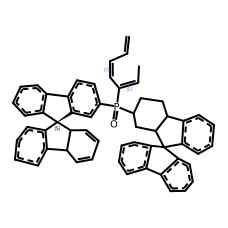 C=C/C=C\C(=C/C)P(=O)(c1ccc2c(c1)[C@]1(c3ccccc3-2)c2ccccc2C2C=CC=CC21)C1CCC2c3ccccc3C3(c4ccccc4-c4ccccc43)C2C1